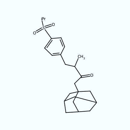 CC(Cc1ccc(S(=O)(=O)C(C)C)cc1)C(=O)CC12CC3CC(CC(C3)C1)C2